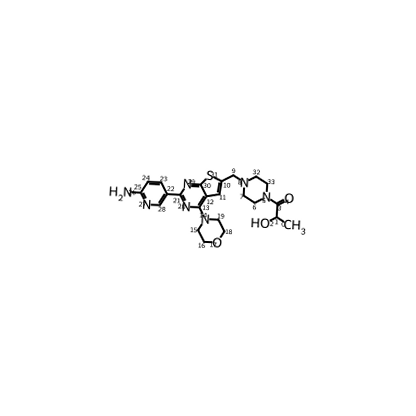 CC(O)C(=O)N1CCN(Cc2cc3c(N4CCOCC4)nc(-c4ccc(N)nc4)nc3s2)CC1